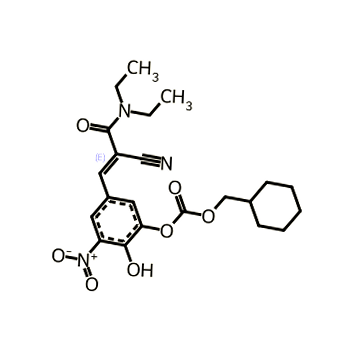 CCN(CC)C(=O)/C(C#N)=C/c1cc(OC(=O)OCC2CCCCC2)c(O)c([N+](=O)[O-])c1